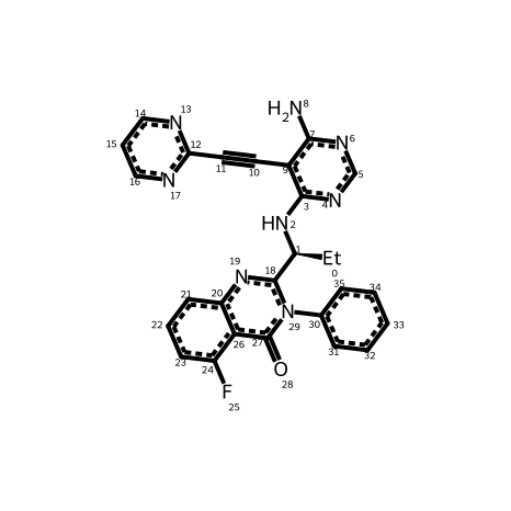 CC[C@H](Nc1ncnc(N)c1C#Cc1ncccn1)c1nc2cccc(F)c2c(=O)n1-c1ccccc1